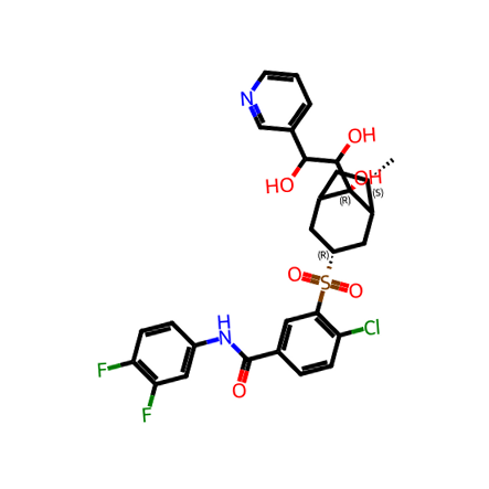 C[C@H]1CC2C[C@@H](S(=O)(=O)c3cc(C(=O)Nc4ccc(F)c(F)c4)ccc3Cl)CC1[C@@]2(O)C(O)C(O)c1cccnc1